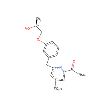 CNC(=O)c1cc(C(=O)O)cc(Cc2cccc(OC[C@H](C)O)c2)n1